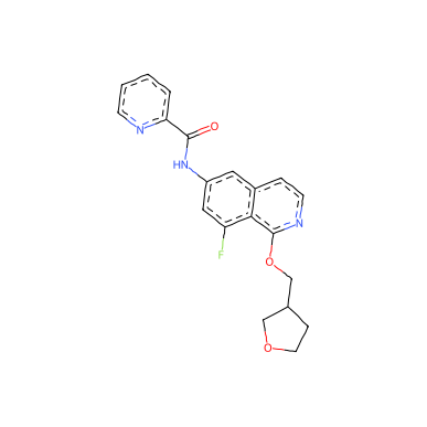 O=C(Nc1cc(F)c2c(OCC3CCOC3)nccc2c1)c1ccccn1